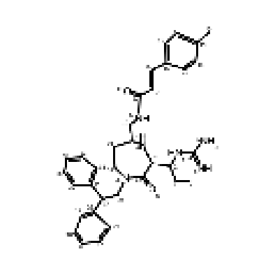 CCC(NC(=N)N)[C@@H]1N[C@H](CNC(=O)/C=C/c2ccc(C)cc2)CCN(CC(c2ccccc2)c2ccccc2)C1=O